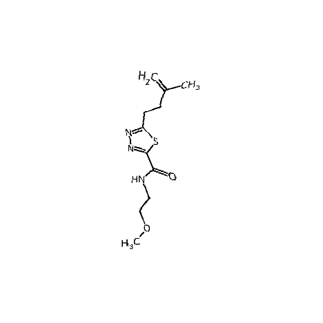 C=C(C)CCc1nnc(C(=O)NCCOC)s1